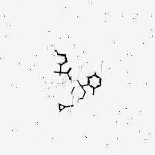 C=C(C(OC)[C@@H]1Oc2c(O)ccc(C)c2[C@@]12CCN(CC1CC1)[C@H](C)C2)C(C)(O)c1ccc(Cl)s1